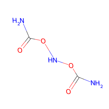 NC(=O)ONOC(N)=O